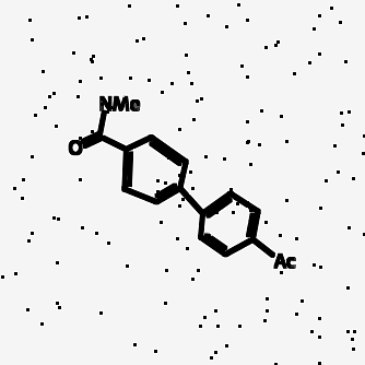 CNC(=O)c1ccc(-c2ccc(C(C)=O)cc2)cc1